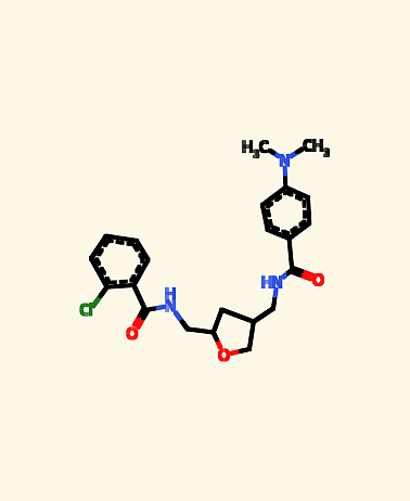 CN(C)c1ccc(C(=O)NCC2COC(CNC(=O)c3ccccc3Cl)C2)cc1